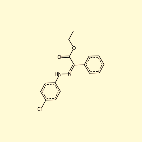 CCOC(=O)C(=NNc1ccc(Cl)cc1)c1ccccc1